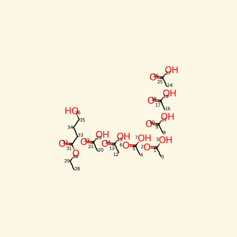 CC(=O)O.CC(=O)O.CC(=O)O.CC(=O)O.CC(=O)O.CC(=O)O.CC(=O)O.CCOC(=O)CCCO